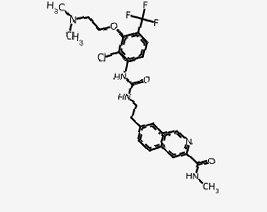 CNC(=O)c1cc2ccc(CCNC(=O)Nc3ccc(C(F)(F)F)c(OCCN(C)C)c3Cl)cc2cn1